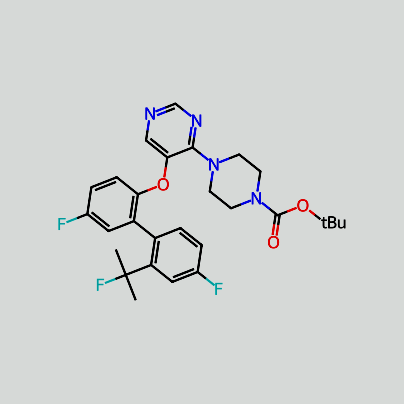 CC(C)(C)OC(=O)N1CCN(c2ncncc2Oc2ccc(F)cc2-c2ccc(F)cc2C(C)(C)F)CC1